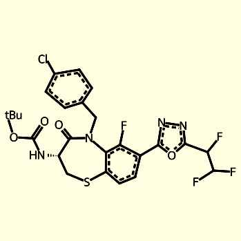 CC(C)(C)OC(=O)N[C@H]1CSc2ccc(-c3nnc(C(F)C(F)F)o3)c(F)c2N(Cc2ccc(Cl)cc2)C1=O